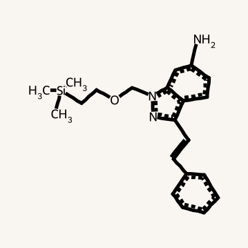 C[Si](C)(C)CCOCn1nc(/C=C/c2ccccc2)c2ccc(N)cc21